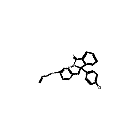 C=CCOc1ccc(CC2(c3ccc(Cl)cc3)c3ccccc3C(=O)N2CCC)cc1